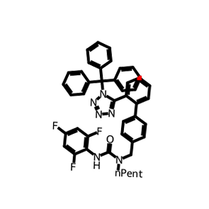 CCCCCN(Cc1ccc(-c2ccccc2-c2nnnn2C(c2ccccc2)(c2ccccc2)c2ccccc2)cc1)C(=O)Nc1c(F)cc(F)cc1F